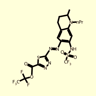 CCCN1c2cc(NS(=O)(=O)C(F)(F)F)c(N=Nc3nnc(C(=O)OC(F)(F)C(F)(F)F)s3)cc2CCC1C